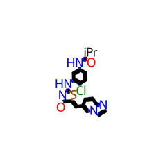 CC(C)C(=O)Nc1ccc(Cl)c(NC2=NC(=O)/C(=C/c3ccc4nccn4c3)S2)c1